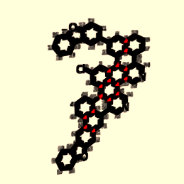 Clc1cc(N(c2cccc(-c3ccc4oc5ccccc5c4c3)c2)c2c(-c3ccccc3)cncc2-c2ccccc2)cc(N(c2cccc(-c3ccc4oc5ccccc5c4c3)c2)c2c(-c3ccccc3)cncc2-c2ccccc2)c1